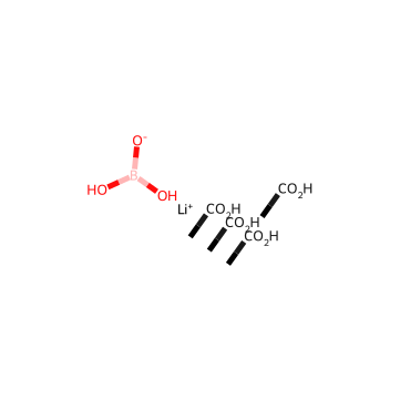 CC(=O)O.CC(=O)O.CC(=O)O.CC(=O)O.[Li+].[O-]B(O)O